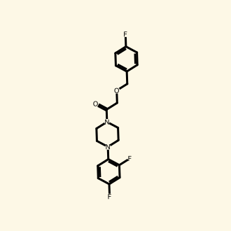 O=C(COCc1ccc(F)cc1)N1CCN(c2ccc(F)cc2F)CC1